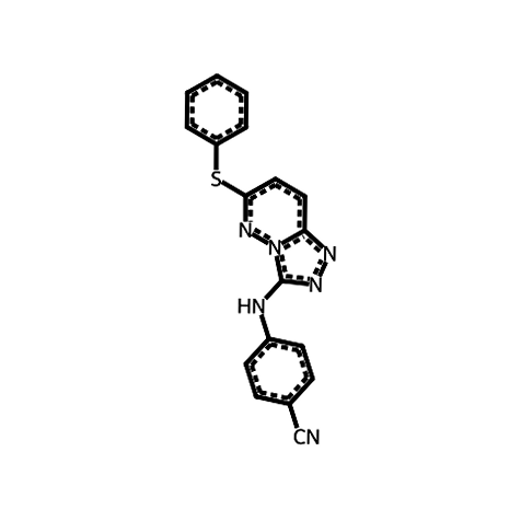 N#Cc1ccc(Nc2nnc3ccc(Sc4ccccc4)nn23)cc1